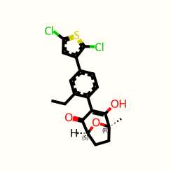 CCc1cc(-c2cc(Cl)sc2Cl)ccc1C1=C(O)[C@@]2(C)CC[C@H](O2)C1=O